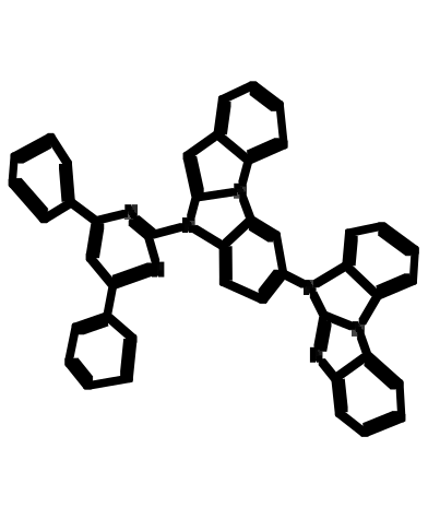 c1ccc(-c2cc(-c3ccccc3)nc(-n3c4ccc(-n5c6ccccc6n6c7ccccc7nc56)cc4n4c5ccccc5cc34)n2)cc1